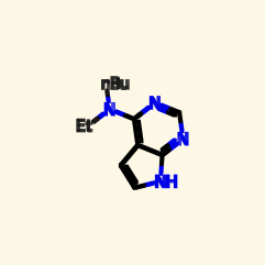 CCCCN(CC)c1ncnc2[nH]ccc12